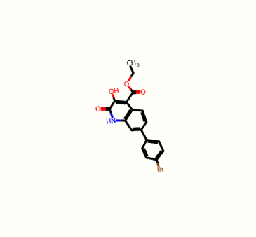 CCOC(=O)c1c(O)c(=O)[nH]c2cc(-c3ccc(Br)cc3)ccc12